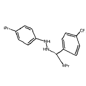 CCCC(NNc1ccc(C(C)C)cc1)c1ccc(C(F)(F)F)cc1